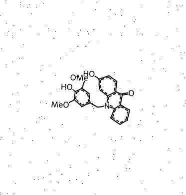 COc1cc(Cn2c3ccccc3c(=O)c3ccc(O)cc32)cc(OC)c1O